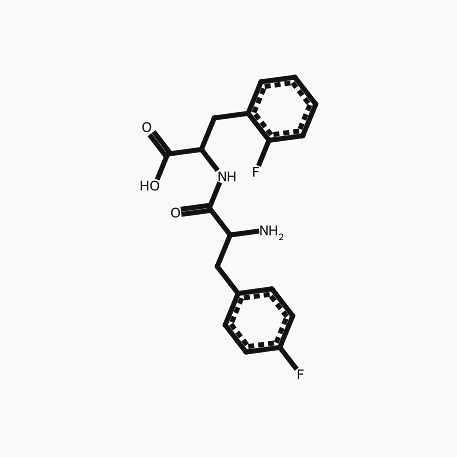 NC(Cc1ccc(F)cc1)C(=O)NC(Cc1ccccc1F)C(=O)O